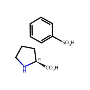 O=C(O)[C@@H]1CCCN1.O=S(=O)(O)c1ccccc1